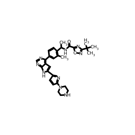 Cc1cc(-c2ncnc3[nH]c(-c4ccc(N5CCNCC5)nc4)cc23)ccc1C(C)NC(=O)c1nc(C(C)(C)C)no1